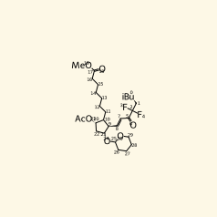 CC[C@H](C)CC(F)(F)C(=O)/C=C/[C@@H]1C(CCCCCCC(=O)OC)[C@@H](OC(C)=O)C[C@H]1OC1CCCCO1